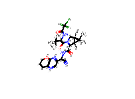 CC(C)(C)C(NC(=O)C(F)(F)F)C(=O)N1C[C@H]2[C@@H]([C@H]1C(=O)NC(C#N)c1cnc3c(n1)OCCC3)C2(C)C